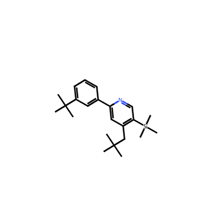 CC(C)(C)Cc1cc(-c2cccc(C(C)(C)C)c2)ncc1[Si](C)(C)C